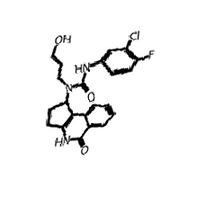 O=C(Nc1ccc(F)c(Cl)c1)N(CCCO)C1CCc2[nH]c(=O)c3ccccc3c21